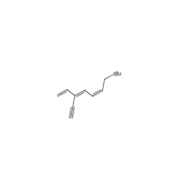 C#C/C(C=C)=C\C=C/CC(C)(C)C